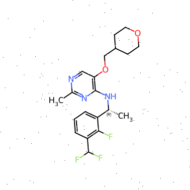 Cc1ncc(OCC2CCOCC2)c(N[C@H](C)c2cccc(C(F)F)c2F)n1